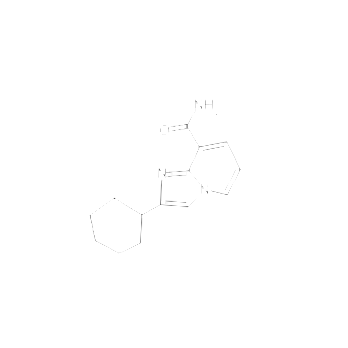 NC(=O)c1cccn2cc(C3CCCCC3)nc12